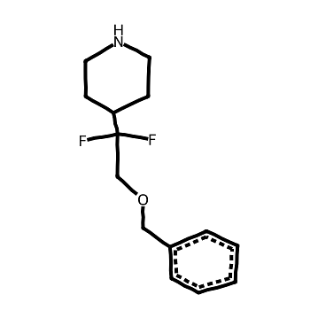 FC(F)(COCc1ccccc1)C1CCNCC1